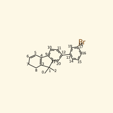 CC1(C)C2=C(C=CCC2)c2ccc(-c3cccc(Br)c3)cc21